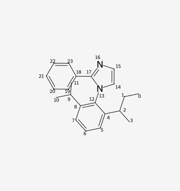 CCC(C)c1cccc(C(C)C)c1-n1ccnc1-c1ccccc1